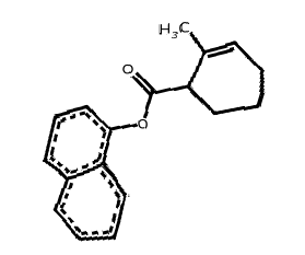 CC1=CCCCC1C(=O)Oc1cccc2ccc[c]c12